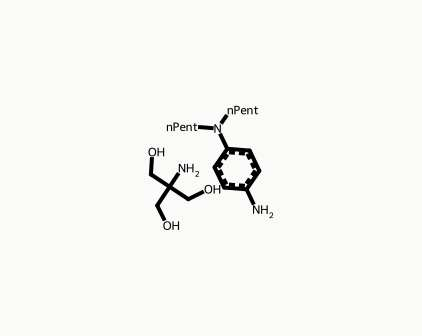 CCCCCN(CCCCC)c1ccc(N)cc1.NC(CO)(CO)CO